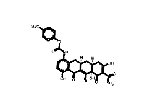 COc1ccc(OC(=O)Nc2ccc(O)c3c2C[C@H]2C[C@H]4CC(O)=C(C(N)=O)C(=O)[C@@]4(O)C(O)=C2C3=O)cc1